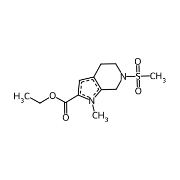 CCOC(=O)c1cc2c(n1C)CN(S(C)(=O)=O)CC2